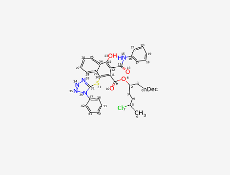 CCCCCCCCCCCC(CCC(C)Cl)OC(=O)c1c(C(=O)Nc2ccccc2)c(O)c2ccccc2c1Sc1nnnn1-c1ccccc1